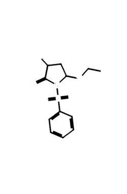 CCOC1CC(O)C(=O)N1S(=O)(=O)c1ccccc1